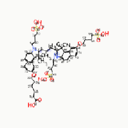 CC1(C)C(/C=C/C=C2/N(CCCCS(=O)(=O)O)c3ccc4ccc(OCCCCCC(=O)O)cc4c3C2(C)C)=[N+](CCCCS(=O)(=O)O)c2ccc3ccc(OCCCCS(=O)(=O)O)cc3c21